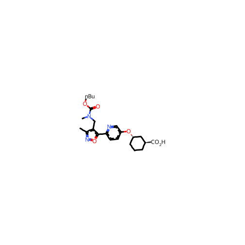 CCCCOC(=O)N(C)Cc1c(C)noc1-c1ccc(O[C@H]2CCC[C@H](C(=O)O)C2)cn1